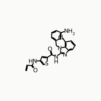 C=CC(=O)Nc1csc(C(=O)Nc2nc3cccc(Cl)c3n2Cc2cccc(N)c2)c1